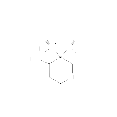 O=P(O)(O)C1(P(=O)(O)O)CNCCC1S